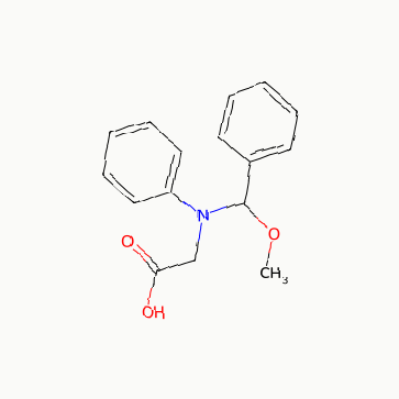 COC(c1ccccc1)N(CC(=O)O)c1ccccc1